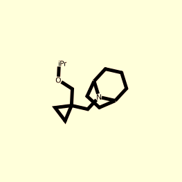 CC(C)OCC1(CN2C3CCCC2CC3)CC1